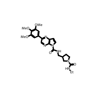 CCNC(=O)N1CCC(CNC(=O)n2ccc3nc(-c4cc(OC)c(OC)c(OC)c4)cnc32)C1